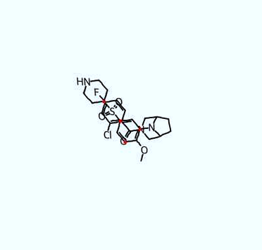 COc1ccc(S(=O)(=O)C2CCNCC2)cc1N1C2CCC1CN(C(=O)c1ccc(F)cc1Cl)C2